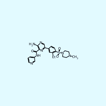 CCc1cc(-c2cnc(N)c(C(=O)Nc3cccnc3)n2)ccc1S(=O)(=O)N1CCN(C)CC1